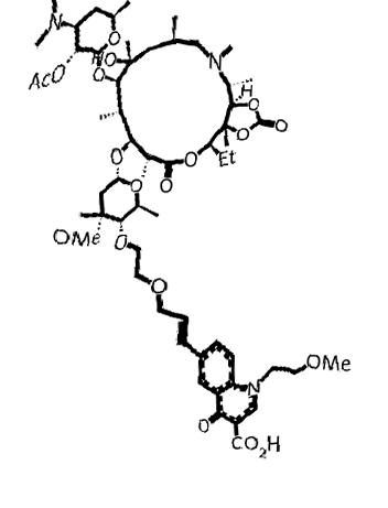 CC[C@H]1OC(=O)[C@H](C)[C@@H](O[C@H]2C[C@@](C)(OC)[C@@H](OCCOCC=Cc3ccc4c(c3)c(=O)c(C(=O)O)cn4CCOC)[C@H](C)O2)[C@H](C)[C@@H](O[C@@H]2O[C@H](C)C[C@H](N(C)C)[C@H]2OC(C)=O)[C@](C)(O)C[C@@H](C)CN(C)[C@H](C)[C@H]2OC(=O)O[C@@]21C